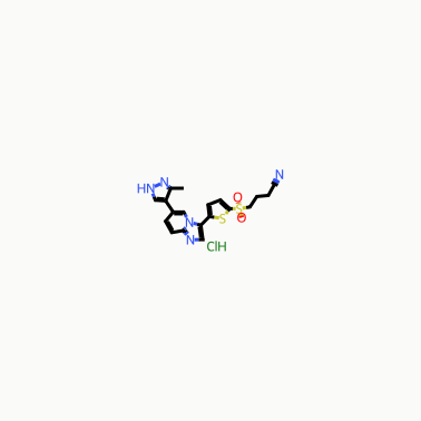 Cc1n[nH]cc1-c1ccc2ncc(-c3ccc(S(=O)(=O)CCCC#N)s3)n2c1.Cl